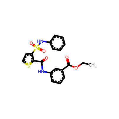 CCOC(=O)c1cccc(NC(=O)c2sccc2S(=O)(=O)Nc2ccccc2)c1